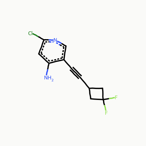 Nc1cc(Cl)ncc1C#CC1CC(F)(F)C1